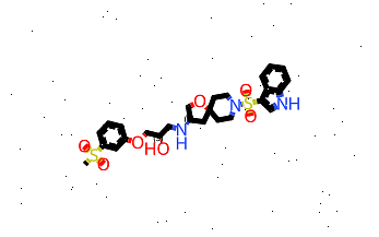 CS(=O)(=O)c1cccc(OC[C@@H](O)CN[C@H]2COC3(CCN(S(=O)(=O)c4c[nH]c5ccccc45)CC3)C2)c1